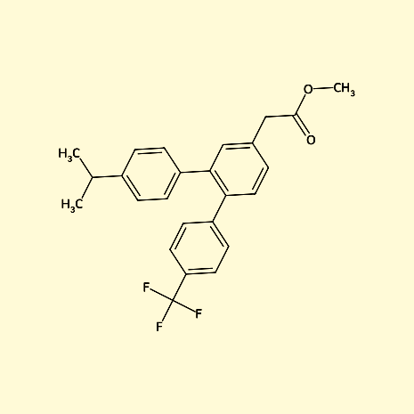 COC(=O)Cc1ccc(-c2ccc(C(F)(F)F)cc2)c(-c2ccc(C(C)C)cc2)c1